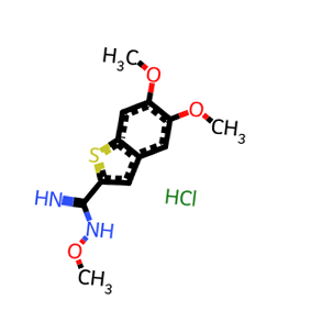 CONC(=N)c1cc2cc(OC)c(OC)cc2s1.Cl